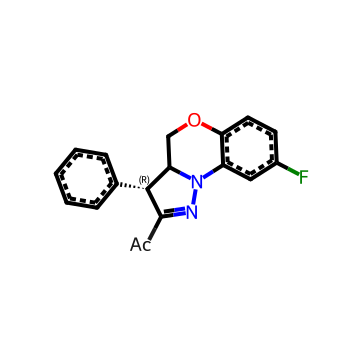 CC(=O)C1=NN2c3cc(F)ccc3OCC2[C@H]1c1ccccc1